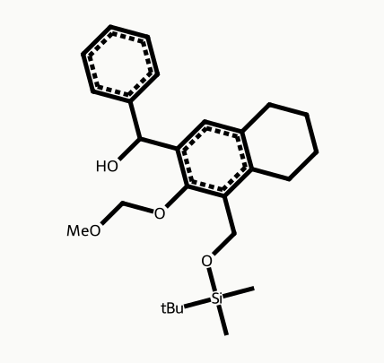 COCOc1c(C(O)c2ccccc2)cc2c(c1CO[Si](C)(C)C(C)(C)C)CCCC2